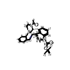 CC(=O)N1CCN(c2ccccc2/C=C/c2nn(C(=O)OC(C)(C)C)c3ccccc23)CC1